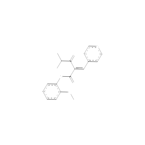 COc1ccccc1NC(=O)C(=Cc1ccncc1)C(=O)C(C)C